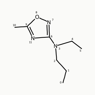 CCCN(CC)c1noc(C)n1